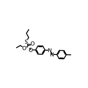 CCCSP(=O)(OCC)Oc1ccc(N=Nc2ccc(C)cc2)cc1